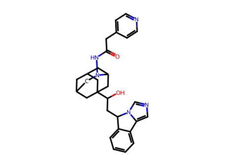 O=C(Cc1ccncc1)NN1CC2CC3CC1CC(C(O)CC1c4ccccc4-c4cncn41)(C3)C2